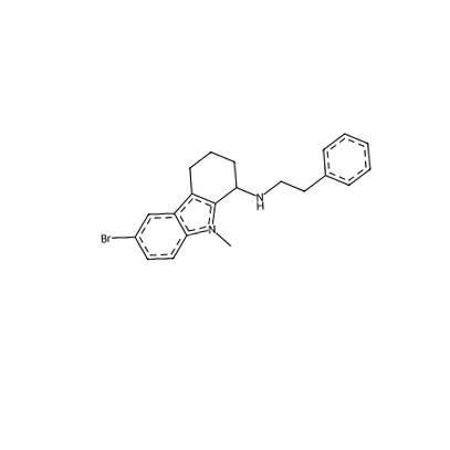 Cn1c2c(c3cc(Br)ccc31)CCCC2NCCc1ccccc1